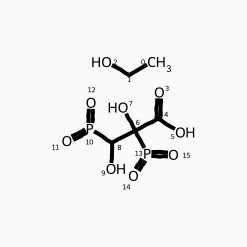 CCO.O=C(O)C(O)(C(O)P(=O)=O)P(=O)=O